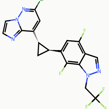 Fc1cc([C@H]2C[C@@H]2c2cc(Cl)nn3ccnc23)c(F)c2c1cnn2CC(F)(F)F